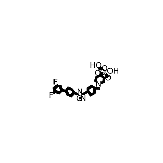 O=C(O)OC1(OC(=O)O)CCN(Cc2ccc(-c3noc(-c4ccc(-c5cc(F)cc(F)c5)cc4)n3)cc2)CC1